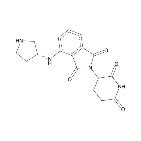 O=C1CCC(N2C(=O)c3cccc(N[C@@H]4CCNC4)c3C2=O)C(=O)N1